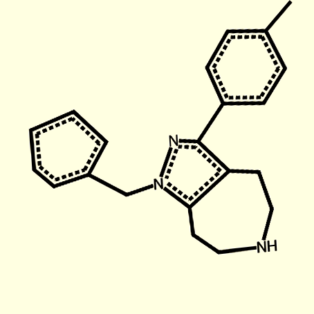 Cc1ccc(-c2nn(Cc3ccccc3)c3c2CCNCC3)cc1